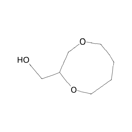 OCC1COCCCCO1